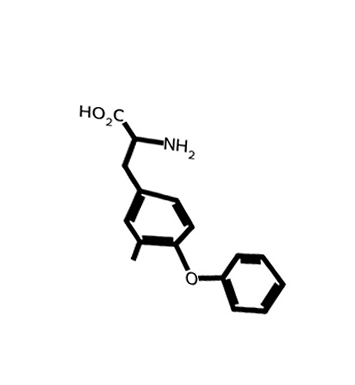 Cc1cc(CC(N)C(=O)O)ccc1Oc1ccccc1